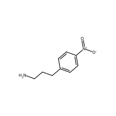 NCCCc1ccc([N+](=O)[O-])cc1